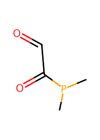 CP(C)C(=O)C=O